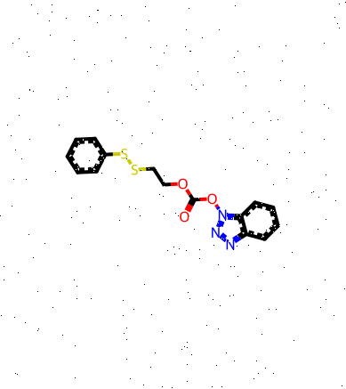 O=C(OCCSSc1ccccc1)On1nnc2ccccc21